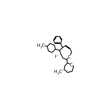 CC1CCC(C2C(c3ccccc3)/C=C\CCC(C3CCCC[C@H](C)C3)C[C@@H]2I)CC1